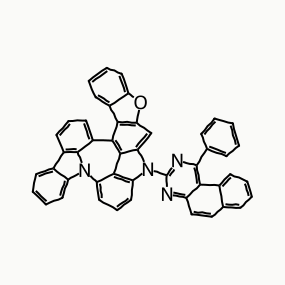 c1ccc(-c2nc(-n3c4cc5oc6ccccc6c5c5c6cccc7c8ccccc8n(c8cccc3c8c54)c76)nc3ccc4ccccc4c23)cc1